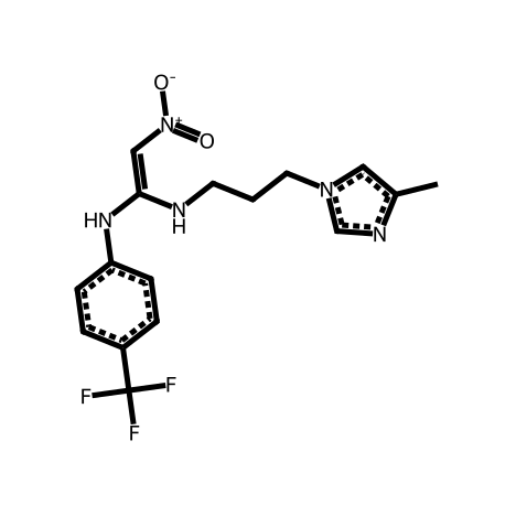 Cc1cn(CCCN/C(=C\[N+](=O)[O-])Nc2ccc(C(F)(F)F)cc2)cn1